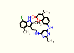 Cc1nc(NCCc2c(C)[nH]c3c(F)ccc(C)c23)cc(Nc2ccc3c(C)cc(=O)oc3c2)n1